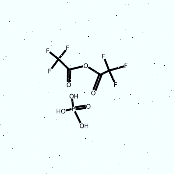 O=C(OC(=O)C(F)(F)F)C(F)(F)F.O=P(O)(O)O